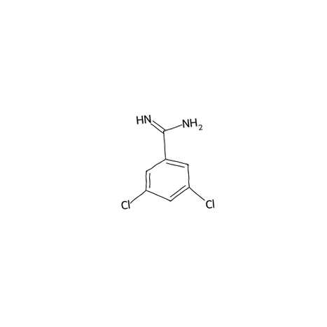 N=C(N)c1cc(Cl)cc(Cl)c1